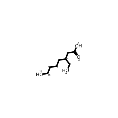 O=C(O)CC(CO)CCCCO